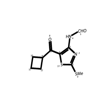 CSc1nc(NC=O)c(C(=O)C2CCC2)s1